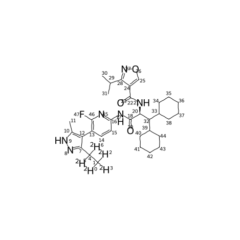 [2H]C([2H])([2H])C([2H])([2H])c1n[nH]c(C)c1-c1ccc(NC(=O)[C@@H](NC(=O)c2conc2C(C)C)C(C2CCCCC2)C2CCCCC2)nc1F